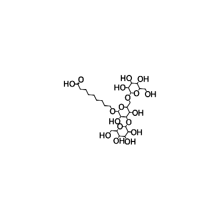 O=C(O)CCCCCCCCOC1OC(COC2OC(CO)C(O)C(O)C2O)C(O)C(OC2OC(CO)C(O)C(O)C2O)C1O